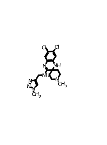 CN1CCC2(CC1)Nc1cc(Cl)c(Cl)cc1N=C2NCc1cn(C)nn1